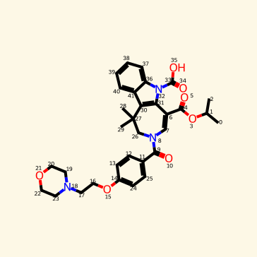 CC(C)OC(=O)C1=CN(C(=O)c2ccc(OCCN3CCOCC3)cc2)CC(C)(C)c2c1n(C(=O)O)c1ccccc21